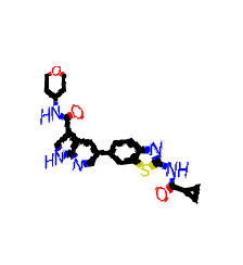 O=C(NC1CCOCC1)c1c[nH]c2ncc(-c3ccc4nc(NC(=O)C5CC5)sc4c3)cc12